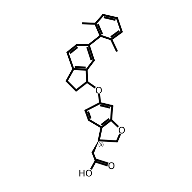 Cc1cccc(C)c1-c1ccc2c(c1)C(Oc1ccc3c(c1)OC[C@H]3CC(=O)O)CC2